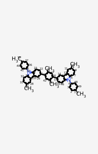 Cc1ccc(-n2c3ccc(C)cc3c3cc(-c4cc(C)c(-c5ccc6c(c5)c5cc(C)ccc5n6-c5ccc(C)cc5)cc4C)ccc32)cc1